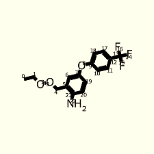 CCOOCc1cc(Oc2ccc(C(F)(F)F)cc2)ccc1N